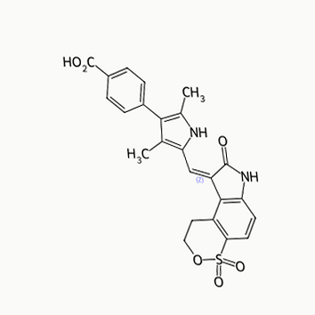 Cc1[nH]c(/C=C2\C(=O)Nc3ccc4c(c32)CCOS4(=O)=O)c(C)c1-c1ccc(C(=O)O)cc1